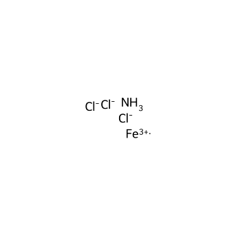 N.[Cl-].[Cl-].[Cl-].[Fe+3]